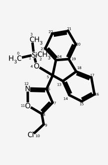 C[Si](C)(C)OC1(c2cc(CCl)on2)c2ccccc2-c2ccccc21